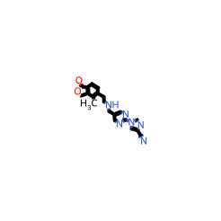 Cc1c(CCNCc2cnc(-n3cnc(C#N)c3)nc2)ccc2c1COC2=O